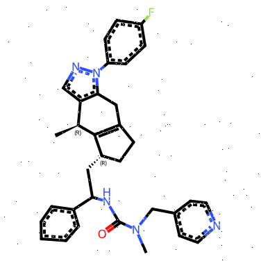 C[C@@H]1C2=C(CC[C@@H]2CC(NC(=O)N(C)Cc2ccncc2)c2ccccc2)Cc2c1cnn2-c1ccc(F)cc1